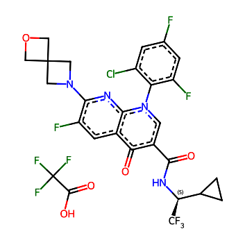 O=C(N[C@@H](C1CC1)C(F)(F)F)c1cn(-c2c(F)cc(F)cc2Cl)c2nc(N3CC4(COC4)C3)c(F)cc2c1=O.O=C(O)C(F)(F)F